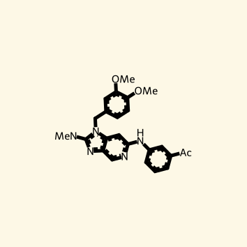 CNc1nc2cnc(Nc3cccc(C(C)=O)c3)cc2n1Cc1ccc(OC)c(OC)c1